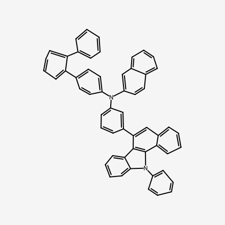 c1ccc(-c2ccccc2-c2ccc(N(c3cccc(-c4cc5ccccc5c5c4c4ccccc4n5-c4ccccc4)c3)c3ccc4ccccc4c3)cc2)cc1